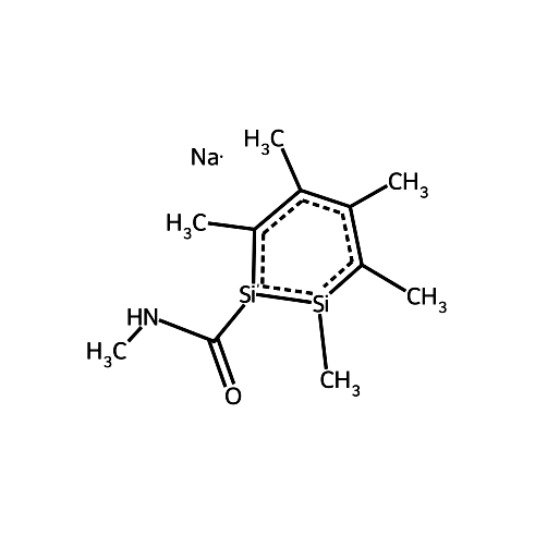 CNC(=O)[si]1c(C)c(C)c(C)c(C)[si]1C.[Na]